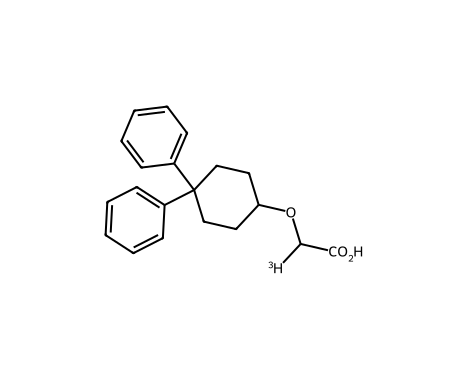 [3H]C(OC1CCC(c2ccccc2)(c2ccccc2)CC1)C(=O)O